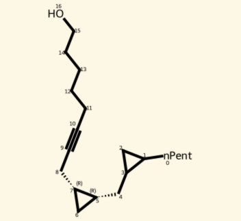 CCCCCC1CC1C[C@@H]1C[C@@H]1CC#CCCCCCO